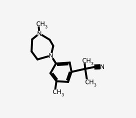 Cc1cc(N2CCCN(C)CC2)cc(C(C)(C)C#N)c1